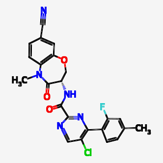 Cc1ccc(-c2nc(C(=O)N[C@H]3COc4cc(C#N)ccc4N(C)C3=O)ncc2Cl)c(F)c1